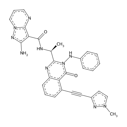 C[C@H](NC(=O)c1c(N)nn2cccnc12)c1nc2cccc(C#Cc3ccn(C)n3)c2c(=O)n1Nc1ccccc1